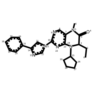 CCC1C(=O)N(C)c2cnc(-n3cnc(-c4ccccc4)c3)nc2N1C1CCCC1